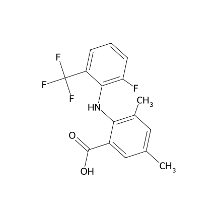 Cc1cc(C)c(Nc2c(F)cccc2C(F)(F)F)c(C(=O)O)c1